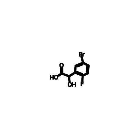 O=C(O)C(O)c1cc(Br)ccc1F